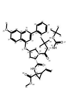 C=CC1C[C@]1(NC(=O)[C@@H]1C[C@@H](Oc2cc(-c3ccccc3)nc3cc(OC)ccc23)CN1C(=O)[C@@H](NC(=O)OC(C)(C)C)C(C)(C)C)C(=O)OC